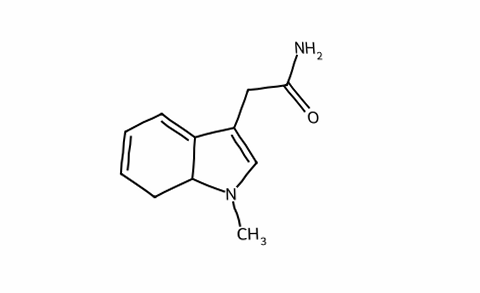 CN1C=C(CC(N)=O)C2=CC=CCC21